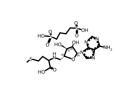 CSCCC(NC[C@H]1O[C@@H](n2cnc3c(N)ncnc32)[C@H](O)[C@@H]1O)C(=O)O.O=S(=O)(O)CCCCS(=O)(=O)O